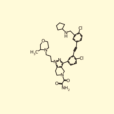 CC1COCCN1CCCn1nc(-c2ccc(Cl)c(C#Cc3ccc(Cl)c(CNC4CCCC4)c3)c2)c2c1CCN(C(=O)C(N)=O)C2